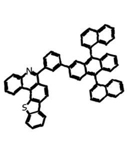 c1cc(-c2ccc3c(-c4cccc5ccccc45)c4ccccc4c(-c4cccc5ccccc45)c3c2)cc(-c2nc3ccccc3c3c2ccc2c4ccccc4sc23)c1